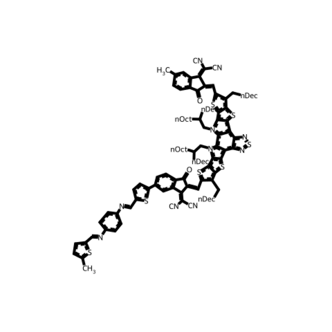 [C-]#[N+]/C(C#N)=C1/C(=C/c2sc3c(sc4c5c6nsnc6c6c7sc8c(CCCCCCCCCCC)c(/C=C9\C(=O)c%10ccc(-c%11ccc(/C=N/c%12ccc(/N=C/c%13ccc(C)s%13)cc%12)s%11)cc%10\C9=C(\C#N)[N+]#[C-])sc8c7n(CC(CCCCCCCC)CCCCCCCCCC)c6c5n(CC(CCCCCCCC)CCCCCCCCCC)c34)c2CCCCCCCCCCC)C(=O)c2ccc(C)cc21